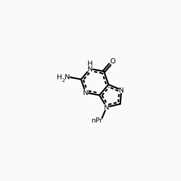 C[CH]Cn1cnc2c(=O)[nH]c(N)nc21